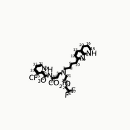 O=C(N[C@@H](CCN(CCCCc1ccc2c(n1)NCCC2)CCOCC(F)F)C(=O)O)c1ncccc1C(F)(F)F